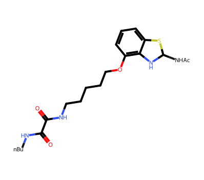 CCCCNC(=O)C(=O)NCCCCCOc1cccc2c1NC(NC(C)=O)S2